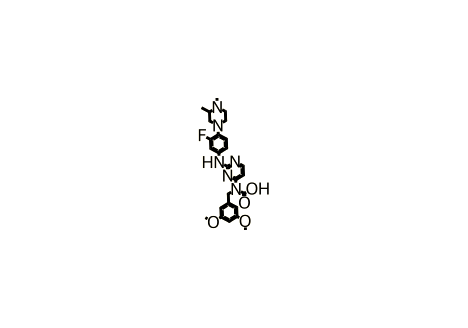 COc1cc(CN(C(=O)O)c2ccnc(Nc3ccc(N4CCN(C)C(C)C4)c(F)c3)n2)cc(OC)c1